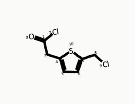 O=C(Cl)Cc1ccc(CCl)s1